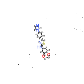 c1cn(-c2ccc(-c3csc(Nc4ccc5c(c4)OCCO5)n3)cc2)cn1